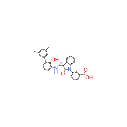 Cc1cc(C)cc(-c2cccc(N/C=C3\C(=O)N(c4cccc(C(=O)O)c4)c4ccccc43)c2O)c1